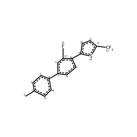 Cc1ccc(-c2ccc(-c3ccc(C(F)(F)F)s3)c(F)c2)cc1